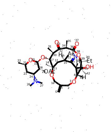 C=C1CO[C@@H]2[C@@H](C)/C(=N/C(C)=O)[C@H](C)C[C@@](C)(OC1)[C@H](O[C@@H]1O[C@H](C)C[C@H](N(C)C)[C@H]1OC(C)=O)[C@@H](C)C(=O)[C@@H](C)C(=O)O[C@H](CC)[C@@]2(C)O